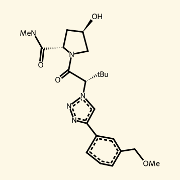 CNC(=O)[C@@H]1C[C@@H](O)CN1C(=O)[C@@H](n1cc(-c2cccc(COC)c2)nn1)C(C)(C)C